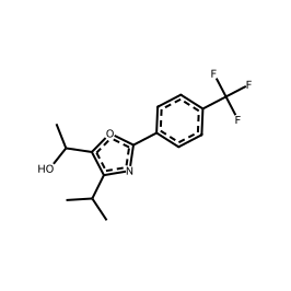 CC(C)c1nc(-c2ccc(C(F)(F)F)cc2)oc1C(C)O